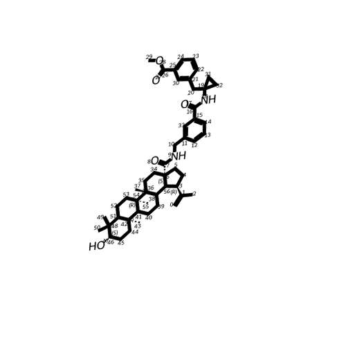 C=C(C)[C@@H]1CC[C@]2(C(=O)NCc3cccc(C(=O)NC4(Cc5cccc(C(=O)OC)c5)CC4)c3)CC[C@]3(C)C(CCC4[C@@]5(C)CC[C@H](O)C(C)(C)C5CC[C@]43C)C12